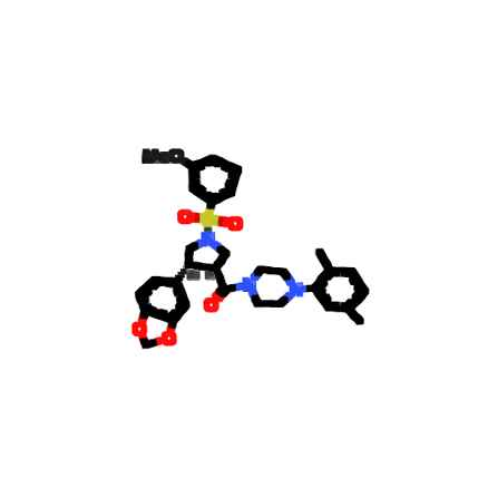 COc1cccc(S(=O)(=O)N2C[C@@H](C(=O)N3CCN(c4cc(C)ccc4C)CC3)[C@H](c3ccc4c(c3)OCO4)C2)c1